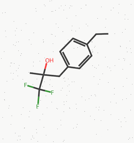 CCc1ccc(CC(C)(O)C(F)(F)F)cc1